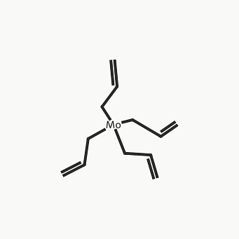 C=C[CH2][Mo]([CH2]C=C)([CH2]C=C)[CH2]C=C